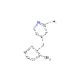 Cc1cc(Cc2ccccc2C)ccn1